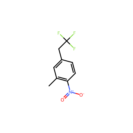 Cc1cc(CC(F)(F)F)ccc1[N+](=O)[O-]